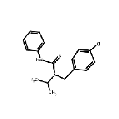 CC(C)N(Cc1ccc(Cl)cc1)C(=S)Nc1ccccc1